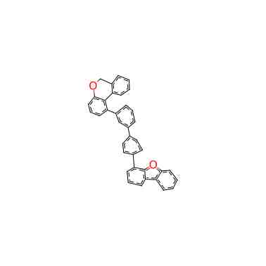 c1cc(-c2ccc(-c3cccc4c3oc3ccccc34)cc2)cc(-c2cccc3c2-c2ccccc2CO3)c1